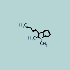 C=CCC=Cc1c(C)n(C)c2ccccc12